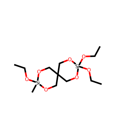 CCO[Si]1(C)OCC2(CO1)CO[Si](OCC)(OCC)OC2